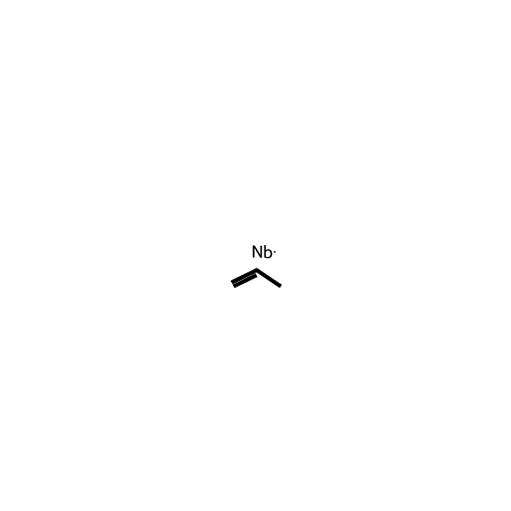 C=CC.[Nb]